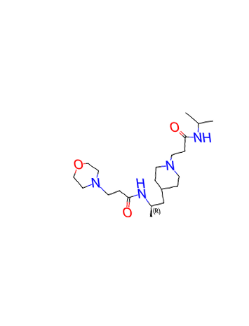 CC(C)NC(=O)CCN1CCC(C[C@@H](C)NC(=O)CCN2CCOCC2)CC1